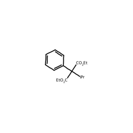 CCOC(=O)C(C(=O)OCC)(c1ccccc1)C(C)C